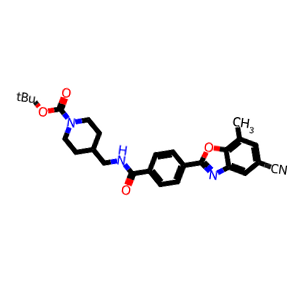 Cc1cc(C#N)cc2nc(-c3ccc(C(=O)NCC4CCN(C(=O)OC(C)(C)C)CC4)cc3)oc12